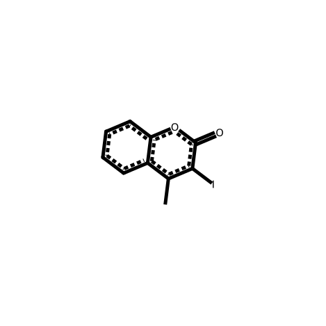 Cc1c(I)c(=O)oc2ccccc12